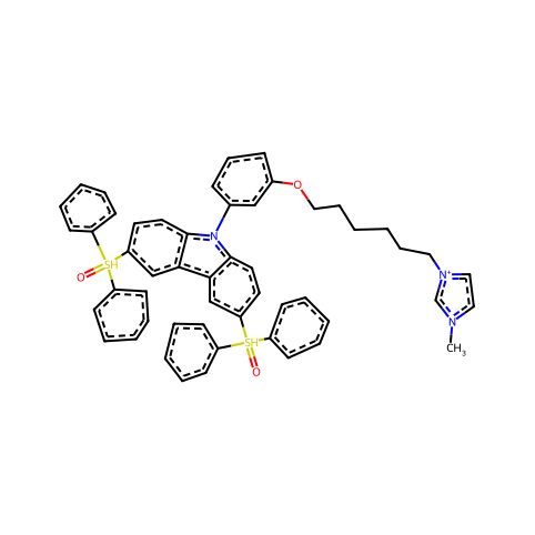 Cn1cc[n+](CCCCCCOc2cccc(-n3c4ccc([SH](=O)(c5ccccc5)c5ccccc5)cc4c4cc([SH](=O)(c5ccccc5)c5ccccc5)ccc43)c2)c1